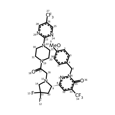 COc1ccc(Cn2nc([C@@H]3CC(F)(F)CN3CC(=O)N3CCN(c4ncc(C(F)(F)F)cn4)CC3)cc(C(F)(F)F)c2=O)cc1